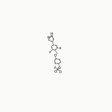 O=S(=O)(F)Oc1ccc(OCc2c(F)cc(-c3cn[nH]c3)cc2F)cc1